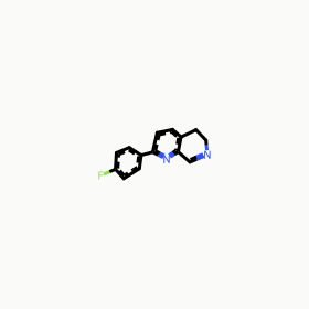 Fc1ccc(-c2ccc3c(n2)C=NCC3)cc1